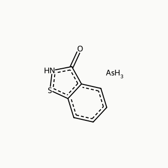 O=c1[nH]sc2ccccc12.[AsH3]